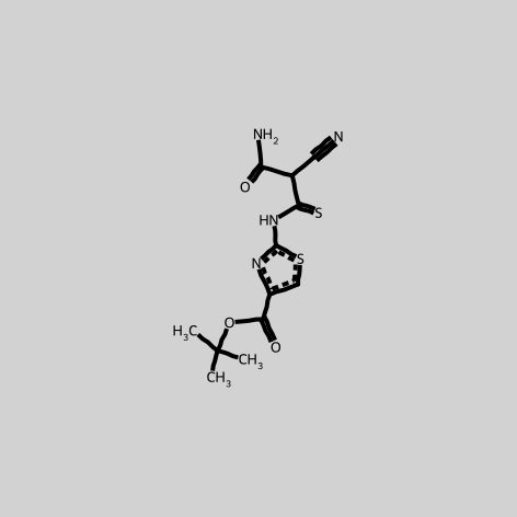 CC(C)(C)OC(=O)c1csc(NC(=S)C(C#N)C(N)=O)n1